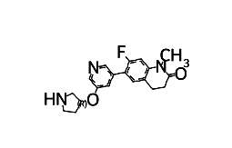 CN1C(=O)CCc2cc(-c3cncc(O[C@@H]4CCNC4)c3)c(F)cc21